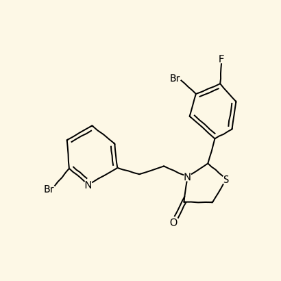 O=C1CSC(c2ccc(F)c(Br)c2)N1CCc1cccc(Br)n1